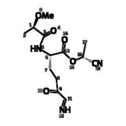 CO[C@H](C)C(=O)N[C@@H](CCC(=O)C=N)C(=O)O[C@H](C)C#N